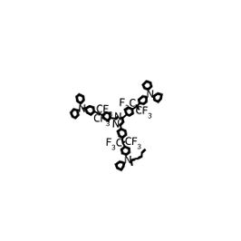 C=C/C=C\C=C(/C)N(c1ccccc1)c1ccc(C(c2ccc(-c3cc(-c4ccc(C(c5ccc(N(c6ccccc6)c6ccccc6)cc5)(C(F)(F)F)C(F)(F)F)cc4)nc(-c4ccc(C(c5ccc(N(c6ccccc6)c6ccccc6)cc5)(C(F)(F)F)C(F)(F)F)cc4)n3)cc2)(C(F)(F)F)C(F)(F)F)cc1